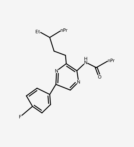 CCCC(=O)Nc1ncc(-c2ccc(F)cc2)nc1CCC(CC)CCC